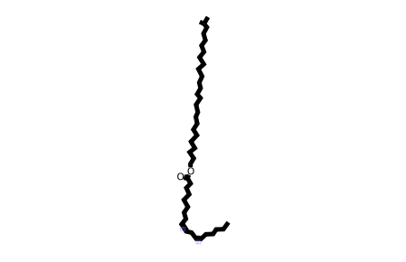 CCCCC/C=C\C/C=C\CCCCCCCC(=O)OCCCCCCCCCCCCCCCCCCCCCCCCC(C)C